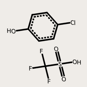 O=S(=O)(O)C(F)(F)F.Oc1ccc(Cl)cc1